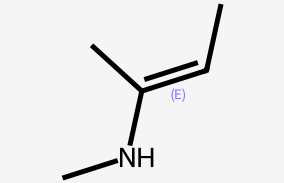 C/C=C(\C)NC